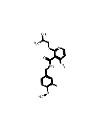 COc1ccc(CNC(=O)c2c(C)ccnc2OCC(C)C)cc1F